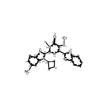 CCOc1c(-c2nc3ccccc3o2)nc(-c2nc3ccc(C#N)cc3n2C2CCC2)n(C)c1=O